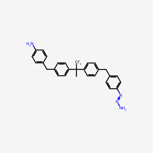 CC(c1ccc(Cc2ccc(N)cc2)cc1)(c1ccc(Cc2ccc(N=NN)cc2)cc1)C(F)(F)F